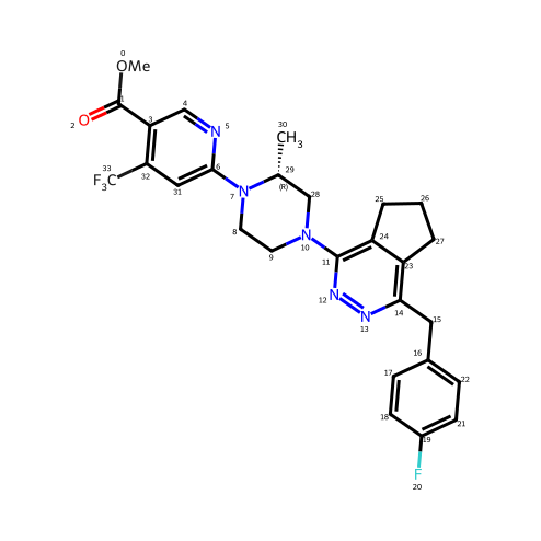 COC(=O)c1cnc(N2CCN(c3nnc(Cc4ccc(F)cc4)c4c3CCC4)C[C@H]2C)cc1C(F)(F)F